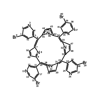 Brc1cncc(-c2c3nc(c(-c4cncc(Br)c4)c4ccc([nH]4)c(-c4cncc(Br)c4)c4nc(c(-c5cncc(Br)c5)c5ccc2[nH]5)C=C4)C=C3)c1